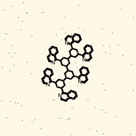 c1ccc2c(C3CC(c4nccc5ccccc45)CC(C4CC(c5nccc6ccccc56)CC(C5CC(c6nccc7ccccc67)CC(C6CC(c7nccc8ccccc78)CC(c7nccc8ccccc78)C6)C5)C4)C3)nccc2c1